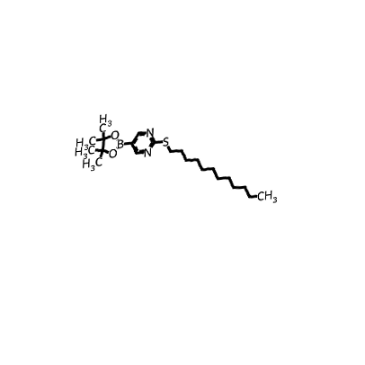 CCCCCCCCCCCCSc1ncc(B2OC(C)(C)C(C)(C)O2)cn1